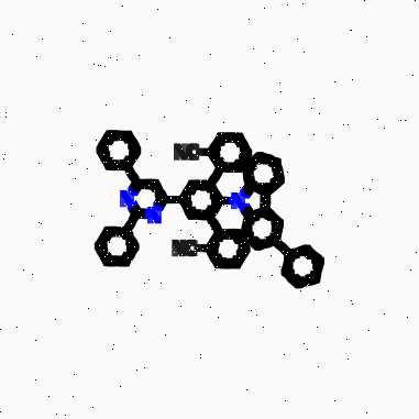 N#Cc1ccccc1-c1cc(-c2cc(-c3ccccc3)nc(-c3ccccc3)n2)cc(-c2ccccc2C#N)c1-n1c2ccccc2c2cc(-c3ccccc3)ccc21